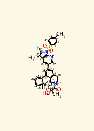 Cc1ccc(S(=O)(=O)n2c(F)c(C)c3cc(-c4cc5c(c(-c6c[c]ccc6C(=O)O)c4)CN(C(=O)C(C)(C)O)CC5)cnc32)cc1